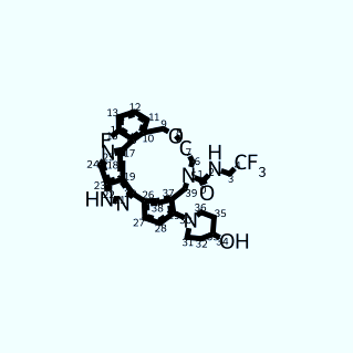 O=C(NCC(F)(F)F)N1CCOCc2cccc(F)c2-c2cc3c(n[nH]c3cn2)-c2ccc(N3CCC(O)CC3)c(c2)C1